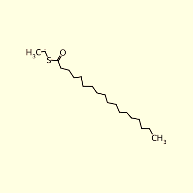 C[CH]SC(=O)CCCCCCCCCCCCCCCCC